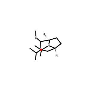 CSC1[C@H]2CC[C@@H](CN1C(C)C)N2C(C)C